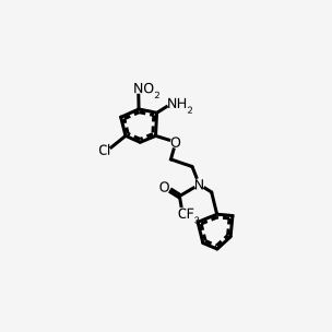 Nc1c(OCCN(Cc2ccccc2)C(=O)C(F)(F)F)cc(Cl)cc1[N+](=O)[O-]